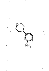 Nc1cc(C2CCOCC2)ccn1